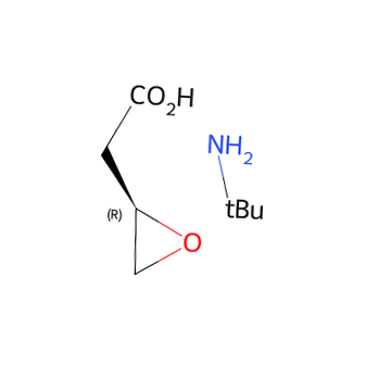 CC(C)(C)N.O=C(O)C[C@@H]1CO1